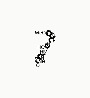 COc1ccc2ncc(F)c(CCN3C[C@H](CNCc4ccc5c(n4)NC(=O)CS5)[C@H](O)C3)c2c1